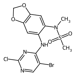 CN(c1cc2c(cc1Nc1nc(Cl)ncc1Br)OCO2)S(C)(=O)=O